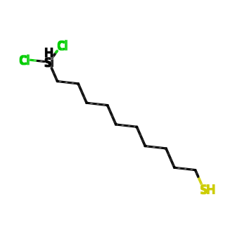 SCCCCCCCCCC[SiH](Cl)Cl